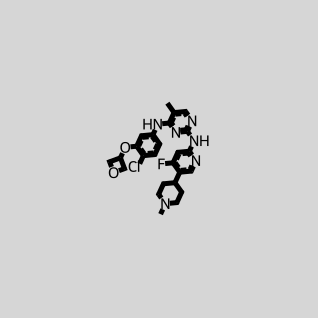 Cc1cnc(Nc2cc(F)c(C3CCN(C)CC3)cn2)nc1Nc1ccc(Cl)c(OC2COC2)c1